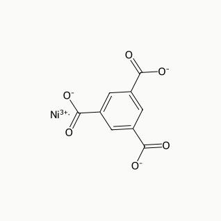 O=C([O-])c1cc(C(=O)[O-])cc(C(=O)[O-])c1.[Ni+3]